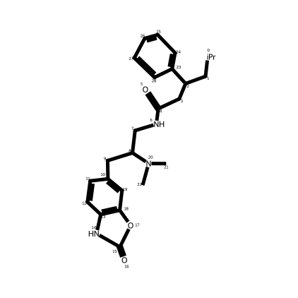 CC(C)CC(CC(=O)NCC(Cc1ccc2[nH]c(=O)oc2c1)N(C)C)c1ccccc1